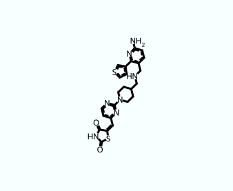 Nc1ccc(CNCC2CCN(c3nccc(C=C4SC(=O)NC4=O)n3)CC2)c(-c2ccsc2)n1